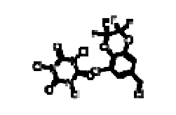 FC1(F)Oc2cc(CCl)cc(Cl)c2OC1(F)F.O=c1n(Cl)c(=O)n(Cl)c(=O)n1Cl